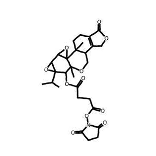 CC(C)C12OC1C1OC13C1(C)CCC4=C(COC4=O)C1COC3(C)C2OC(=O)CCC(=O)ON1C(=O)CCC1=O